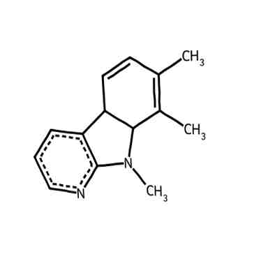 CC1=C(C)C2C(C=C1)c1cccnc1N2C